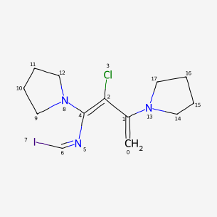 C=C(/C(Cl)=C(\N=C/I)N1CCCC1)N1CCCC1